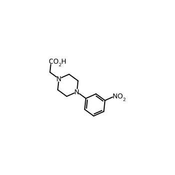 O=C(O)CN1CCN(c2cccc([N+](=O)[O-])c2)CC1